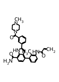 C=CC(=O)Nc1cccc(-c2ccc(C(N)=O)c3[nH]c(-c4cccc(C(=O)N5CCN(C)CC5)c4)cc23)c1C